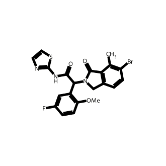 COc1ccc(F)cc1C(C(=O)Nc1nccs1)N1Cc2ccc(Br)c(C)c2C1=O